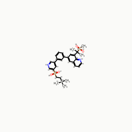 CC(C)(c1cc(-c2cccc(-c3cncc(S(=O)(=O)CC[Si](C)(C)C)c3)c2)cc2cccnc12)S(C)(=O)=O